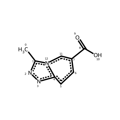 Cc1nnc2ccc(C(=O)O)cn12